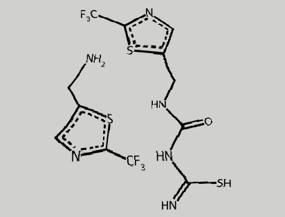 N=C(S)NC(=O)NCc1cnc(C(F)(F)F)s1.NCc1cnc(C(F)(F)F)s1